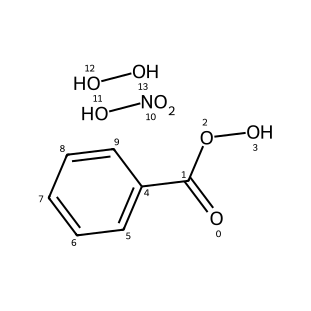 O=C(OO)c1ccccc1.O=[N+]([O-])O.OO